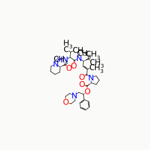 C/C(=C\[C@H](C(C)C)N(C)C(=O)[C@@H](NC(=O)[C@H]1CCCCN1C)C(C)C)C(=O)N1CCC[C@H]1C(=O)OC(CN1CCOCC1)c1ccccc1